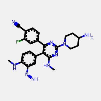 CNc1ccc(-c2c(NC)nc(N3CCC(N)CC3)nc2-c2ccc(C#N)c(F)c2)cc1N=N